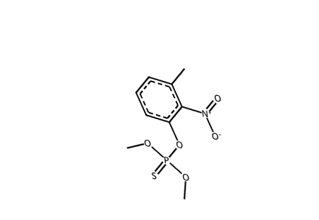 COP(=S)(OC)Oc1cccc(C)c1[N+](=O)[O-]